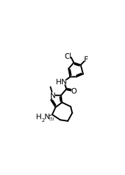 Cn1cc2c(c1C(=O)Nc1ccc(F)c(Cl)c1)CCCC[C@@H]2N